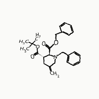 C=C1C[C@H](C(=O)OC(C)(C)C)[C@@H](C(=O)OCc2ccccc2)N(Cc2ccccc2)C1